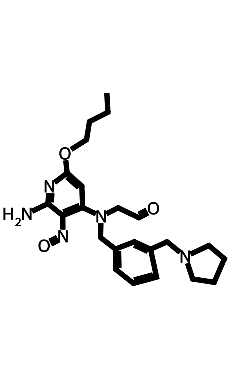 CCCCOc1cc(N(CC=O)Cc2cccc(CN3CCCC3)c2)c(N=O)c(N)n1